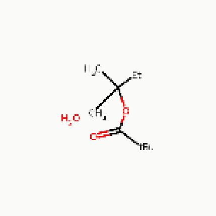 CCC(C)(C)OC(=O)C(C)(C)C.O